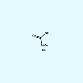 CNC(N)=O.[KH]